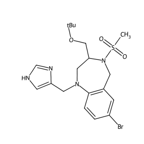 CC(C)(C)OCC1CN(Cc2c[nH]cn2)c2ccc(Br)cc2CN1S(C)(=O)=O